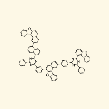 c1ccc(-c2nc(-c3cccc(-c4cc5ccc(-c6ccc(-c7nc(-c8ccccc8)nc(-c8cccc9oc%10ccccc%10c89)n7)cc6)cc5c5c4oc4ccccc45)c3)nc(-c3cccc4c(-c5ccc6ccc7oc8ccccc8c7c6c5)cccc34)n2)cc1